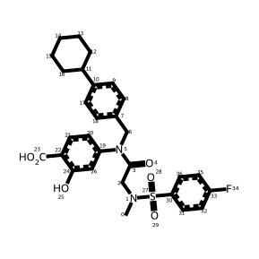 CN(CC(=O)N(Cc1ccc(C2CCCCC2)cc1)c1ccc(C(=O)O)c(O)c1)S(=O)(=O)c1ccc(F)cc1